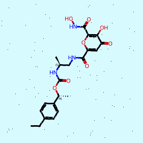 CCc1ccc([C@@H](C)OC(=O)N[C@@H](C)CNC(=O)c2cc(=O)c(O)c(C(=O)NO)o2)cc1